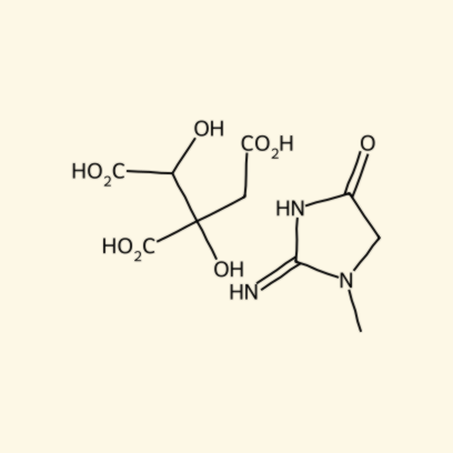 CN1CC(=O)NC1=N.O=C(O)CC(O)(C(=O)O)C(O)C(=O)O